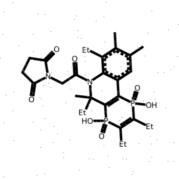 CCC1=C(CC)P(=O)(O)C2=C(c3cc(C)c(C)c(CC)c3N(C(=O)CN3C(=O)CCC3=O)C2(C)CC)P1(=O)O